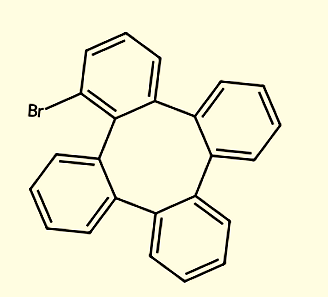 Brc1cccc2c1-c1ccccc1-c1ccccc1-c1ccccc1-2